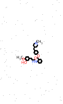 COc1ccc(C=CC(=O)Nc2ccccc2COc2ccc(CC3CCN(C)CC3)cc2)cc1O